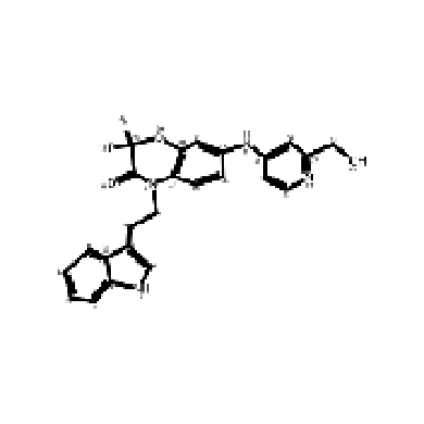 O=C1N(CCc2c[nH]c3ccccc23)c2ccc(Nc3ccnc(CO)c3)cc2OC1(F)F